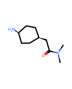 CN(C)C(=O)C[C@H]1CC[C@@H](N)CC1